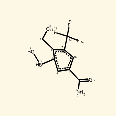 NC(=O)c1cc(BO)c(CO)c(C(F)(F)F)c1